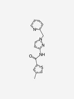 Cc1csc(C(=O)Nc2ccn(Cc3ccccn3)n2)c1